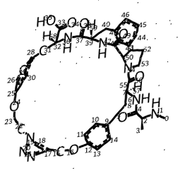 CN[C@@H](C)C(=O)N[C@H]1Cc2ccc(cc2)OCc2cn(nn2)CCOc2ccc(cc2)C[C@H](C(=O)O)NC(=O)[C@H](Cc2ccccc2)NC(=O)C2CCCN2C1=O